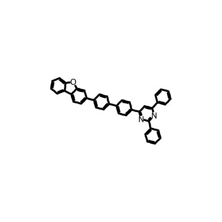 c1ccc(-c2cc(-c3ccc(-c4ccc(-c5ccc6c(c5)oc5ccccc56)cc4)cc3)nc(-c3ccccc3)n2)cc1